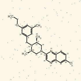 CCOc1cc(C)cc(CN2[C@H](C)CN(c3cnc4cc(Cl)ccc4n3)C[C@@H]2C)c1